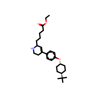 CCOC(=O)CCCCC1C=C(c2ccc(O[C@H]3CC[C@H](C(C)(C)C)CC3)cc2)CCN1